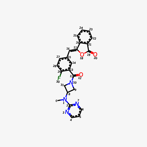 CN(c1ncccn1)C1CN(C(=O)c2cc(/C=C3\OC(=O)c4ccccc43)ccc2F)C1